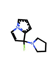 FC1(N2CCCC2)C=Cn2cccc21